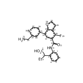 CCC(C(=O)O)c1ccccc1NC(=O)c1cc(-c2ccnc(CN)c2)c2occc2c1F